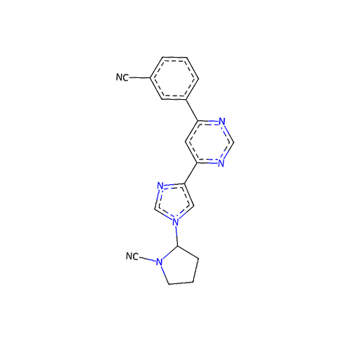 N#Cc1cccc(-c2cc(-c3cn(C4CCCN4C#N)cn3)ncn2)c1